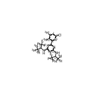 [2H]c1cc(Cl)nc(-c2nc(NC(C([2H])([2H])[2H])C(F)(F)F)nc(NC(C([2H])([2H])[2H])C(F)(F)F)n2)c1[2H]